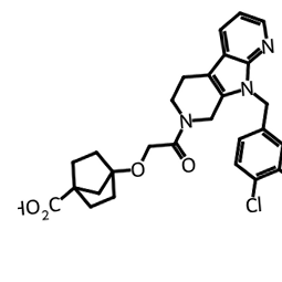 O=C(COC12CCC(C(=O)O)(CC1)C2)N1CCc2c(n(Cc3ccc(Cl)c(F)c3)c3ncccc23)C1